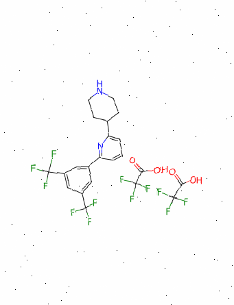 FC(F)(F)c1cc(-c2cccc(C3CCNCC3)n2)cc(C(F)(F)F)c1.O=C(O)C(F)(F)F.O=C(O)C(F)(F)F